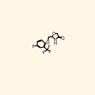 O=C1COC(COc2ccc(F)cc2C(F)(F)F)N1